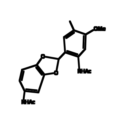 COc1cc(NC(C)=O)c(C2Oc3ccc(NC(C)=O)cc3O2)cc1C